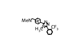 CNCC12CCC(c3nnc(-c4ccccc4C(F)(F)F)n3C)(CC1)CC2